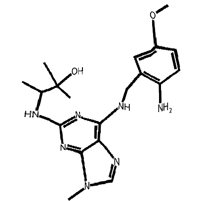 COc1ccc(N)c(CNc2nc(NC(C)C(C)(C)O)nc3c2ncn3C)c1